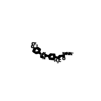 CC(=CC(=O)N=[N+]=[N-])c1ccc(-c2ncn(-c3ccc(OC(F)(F)F)cc3)n2)cc1